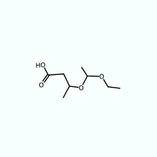 CCOC(C)OC(C)CC(=O)O